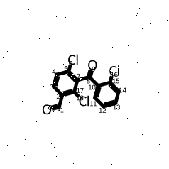 O=[C]c1ccc(Cl)c(C(=O)c2ccccc2Cl)c1Cl